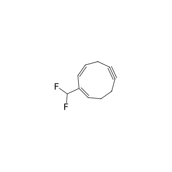 FC(F)C1=C/CCC#CC/C=C\1